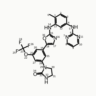 Cc1ccc(Nc2ncccn2)cc1Nc1ncc(-c2cc(OC(F)(F)F)cc(N3CCNC3=O)c2)o1